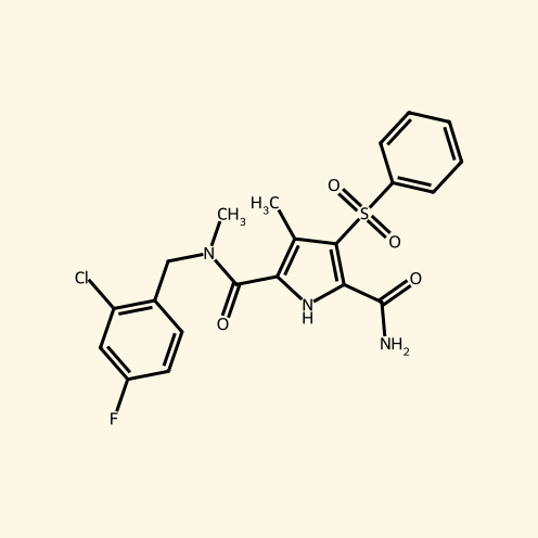 Cc1c(C(=O)N(C)Cc2ccc(F)cc2Cl)[nH]c(C(N)=O)c1S(=O)(=O)c1ccccc1